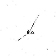 CCCCCCCCCCCCCCCCCN1C=CN(CCCCCCCCCCCC)C1Cc1ccccc1